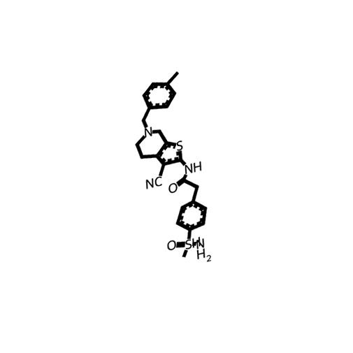 Cc1ccc(CN2CCc3c(sc(NC(=O)Cc4ccc([SH](C)(N)=O)cc4)c3C#N)C2)cc1